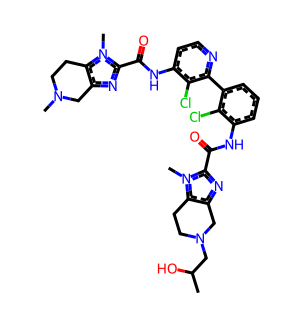 CC(O)CN1CCc2c(nc(C(=O)Nc3cccc(-c4nccc(NC(=O)c5nc6c(n5C)CCN(C)C6)c4Cl)c3Cl)n2C)C1